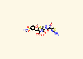 CNS(=O)(=O)c1ccc(OC)c(CC2=C(C(=O)O)N3C(=O)[C@@H](NC(=O)C(=NOC)c4csc(N)n4)[C@H]3SC2)c1